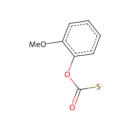 COc1ccccc1OC(=O)[S]